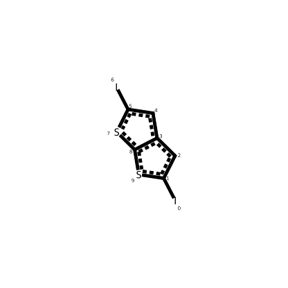 Ic1cc2cc(I)sc2s1